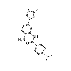 CC(C)c1cnc(C(=O)Nc2cc(-c3cnn(C)c3)ccc2N)cn1